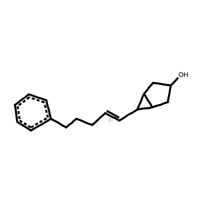 OC1CC2C(/C=C/CCCc3ccccc3)C2C1